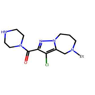 CCN1CCCn2nc(C(=O)N3CCNCC3)c(Cl)c2C1